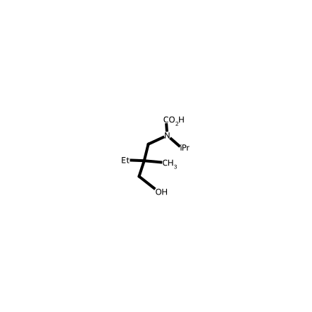 CCC(C)(CO)CN(C(=O)O)C(C)C